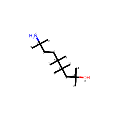 CC(C)(N)CCC(C)(C)C(C)(C)CC(C)(C)O